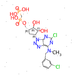 CN(Cc1cccc(Cl)c1)c1nc(Cl)nc2c1nnn2[C@@H]1C[C@H](COP(=O)(O)CP(=O)(O)O)[C@@H](O)[C@H]1O